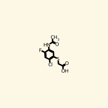 CC(=O)Nc1cc(SCC(=O)O)c(Cl)cc1F